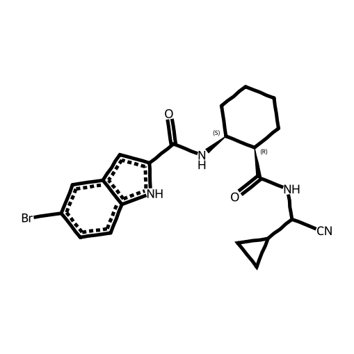 N#CC(NC(=O)[C@@H]1CCCC[C@@H]1NC(=O)c1cc2cc(Br)ccc2[nH]1)C1CC1